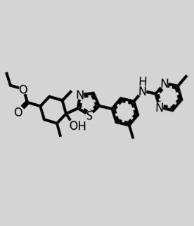 CCOC(=O)C1CC(C)C(O)(c2ncc(-c3cc(C)cc(Nc4nccc(C)n4)c3)s2)C(C)C1